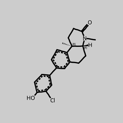 CN1C(=O)CC[C@]2(C)c3ccc(-c4ccc(O)c(Cl)c4)cc3CC[C@@H]12